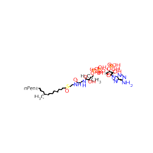 CCCCCC=CCC(C)CCCCCCCCC(=O)SCCNC(=O)CCNC(=O)[C@H](O)C(C)(C)COP(=O)(O)OP(=O)(O)OC[C@H]1O[C@@H](n2cnc3c(N)ncnc32)[C@H](O)[C@@H]1OP(=O)(O)O